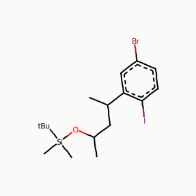 CC(CC(C)c1cc(Br)ccc1I)O[Si](C)(C)C(C)(C)C